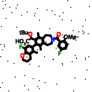 COc1ccc(F)cc1C(=O)N1CCc2c(C)c(-c3cc(F)c4c(c3C)CCCO4)c([C@H](OC(C)(C)C)C(=O)O)c(C)c2CC1